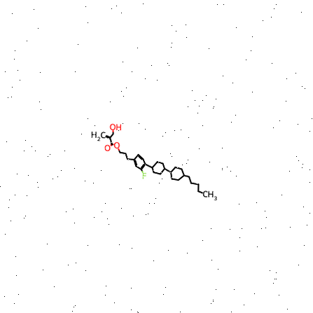 C=C(CO)C(=O)OCCCc1ccc(C2CCC(C3CCC(CCCCC)CC3)CC2)c(F)c1